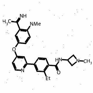 CCc1cc(-c2cc(Oc3ccc(NC)c(C(C)=N)c3)ccn2)ccc1C(=O)NC1CN(C)C1